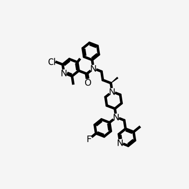 Cc1ccncc1CN(c1ccc(F)cc1)C1CCN([C@H](C)CCN(C(=O)c2c(C)cc(Cl)nc2C)c2ccccc2)CC1